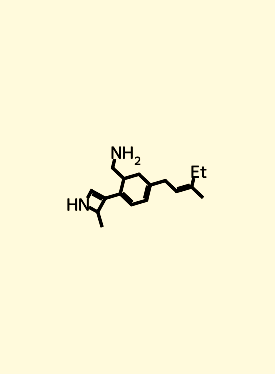 CC/C(C)=C\CC1=CC=C(C2=CNC2C)C(CN)C1